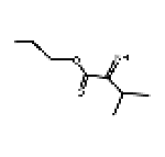 CCCOC(=O)C(=N)C(C)C